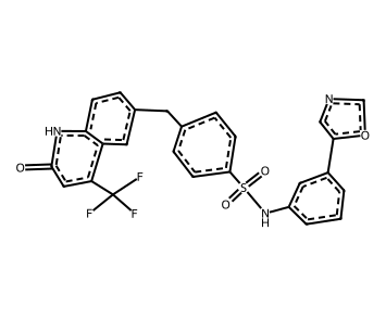 O=c1cc(C(F)(F)F)c2cc(Cc3ccc(S(=O)(=O)Nc4cccc(-c5cnco5)c4)cc3)ccc2[nH]1